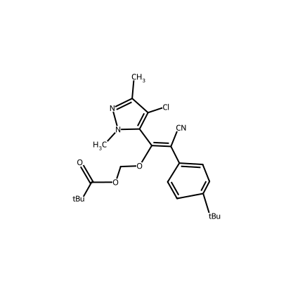 Cc1nn(C)c(/C(OCOC(=O)C(C)(C)C)=C(\C#N)c2ccc(C(C)(C)C)cc2)c1Cl